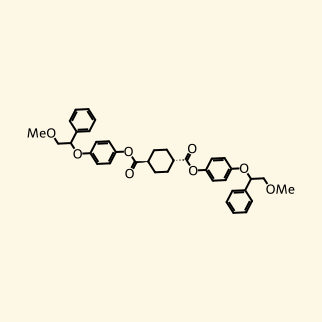 COCC(Oc1ccc(OC(=O)[C@H]2CC[C@H](C(=O)Oc3ccc(OC(COC)c4ccccc4)cc3)CC2)cc1)c1ccccc1